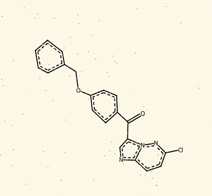 O=C(c1ccc(OCc2ccccc2)cc1)c1cnc2ccc(Cl)nn12